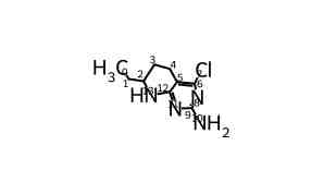 CCC1CCc2c(Cl)nc(N)nc2N1